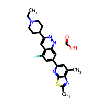 CCN1CCC(c2cc3c(F)cc(-c4cc(C)c5nc(C)sc5n4)cc3nn2)CC1.O=CO